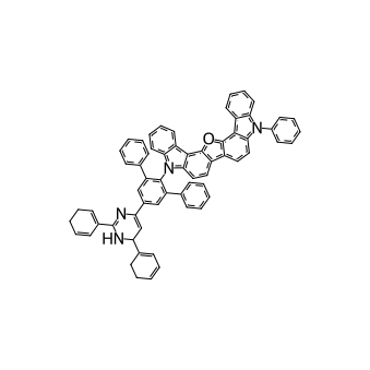 C1=CCCC(C2C=C(c3cc(-c4ccccc4)c(-n4c5ccccc5c5c6oc7c(ccc8c7c7ccccc7n8-c7ccccc7)c6ccc54)c(-c4ccccc4)c3)N=C(C3=CCCC=C3)N2)=C1